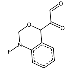 O=CC(=O)C1OCN(F)c2ccccc21